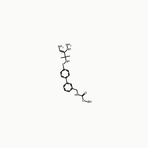 CC(C)(C)OC(=O)NCc1cccc(-c2ccc(SNC(C)(C)/C(=C/N)NN)cc2)c1